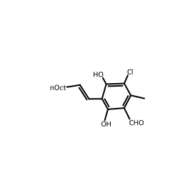 CCCCCCCC/C=C/c1c(O)c(Cl)c(C)c(C=O)c1O